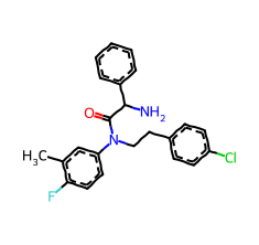 Cc1cc(N(CCc2ccc(Cl)cc2)C(=O)C(N)c2ccccc2)ccc1F